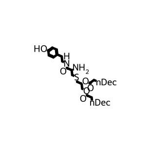 CCCCCCCCCCCC(=O)OCC(CSC[C@H](N)C(=O)NCCc1ccc(O)cc1)OC(=O)CCCCCCCCCCC